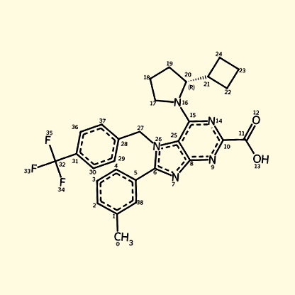 Cc1cccc(-c2nc3nc(C(=O)O)nc(N4CCC[C@@H]4C4CCC4)c3n2Cc2ccc(C(F)(F)F)cc2)c1